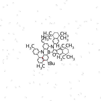 Cc1ccc(-c2ccc(C)cc2N2c3ccc(C(C)(C)C)cc3B3c4oc5cc6c(cc5c4N(c4ccc5c(c4)C(C)(C)CCC5(C)C)c4cc(C)cc2c43)C(C)(C)CCC6(C)C)cc1